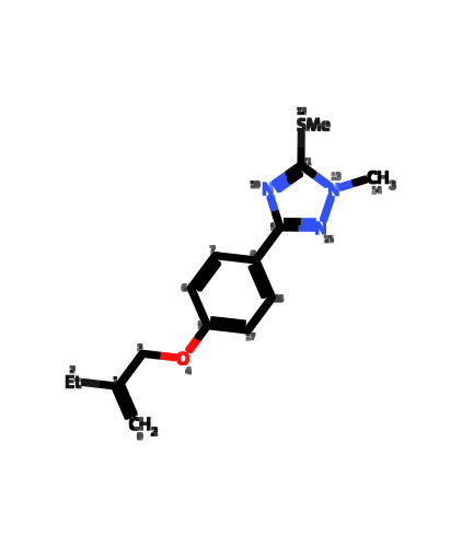 C=C(CC)COc1ccc(-c2nc(SC)n(C)n2)cc1